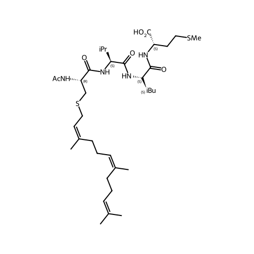 CC[C@H](C)[C@H](NC(=O)[C@@H](NC(=O)[C@H](CSCC=C(C)CCC=C(C)CCC=C(C)C)NC(C)=O)C(C)C)C(=O)N[C@@H](CCSC)C(=O)O